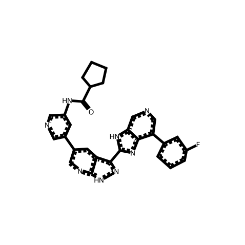 O=C(Nc1cncc(-c2cnc3[nH]nc(-c4nc5c(-c6cccc(F)c6)cncc5[nH]4)c3c2)c1)C1CCCC1